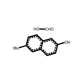 CC(C)(C)c1ccc2cc(O)ccc2c1.O=CO